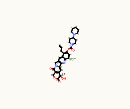 C=CCc1c(OC(=O)N2CCC(N3CCCCC3)CC2)ccc2nc3c(cc12)Cn1c-3cc2c(c1=O)COC(=O)[C@]2(O)CC.Cl